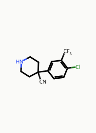 N#CC1(c2ccc(Cl)c(C(F)(F)F)c2)CCNCC1